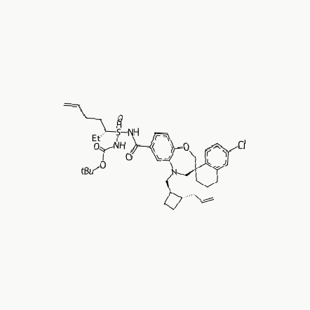 C=CCC[C@@H](CC)[SH](=O)(NC(=O)OC(C)(C)C)NC(=O)c1ccc2c(c1)N(C[C@@H]1CC[C@H]1CC=C)C[C@@]1(CCCc3cc(Cl)ccc31)CO2